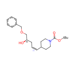 CC(C)(C)OC(=O)N1CCC(/C=C\C[C@@H](O)COCc2ccccc2)CC1